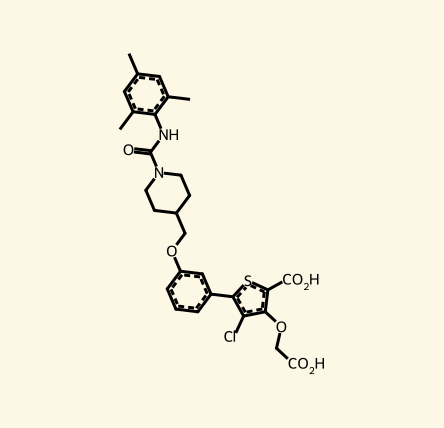 Cc1cc(C)c(NC(=O)N2CCC(COc3cccc(-c4sc(C(=O)O)c(OCC(=O)O)c4Cl)c3)CC2)c(C)c1